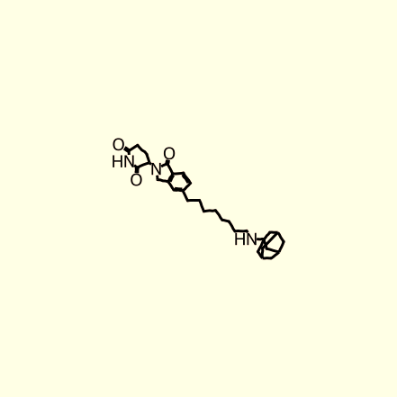 O=C1CCC(N2Cc3cc(CCCCCCCCNC45CC6CC(CC(C6)C4)C5)ccc3C2=O)C(=O)N1